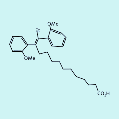 CC/C(=C(/CCCCCCCCCCC(=O)O)c1ccccc1OC)c1ccccc1OC